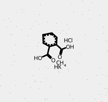 C.Cl.O=C(O)c1ccccc1C(=O)O.[KH]